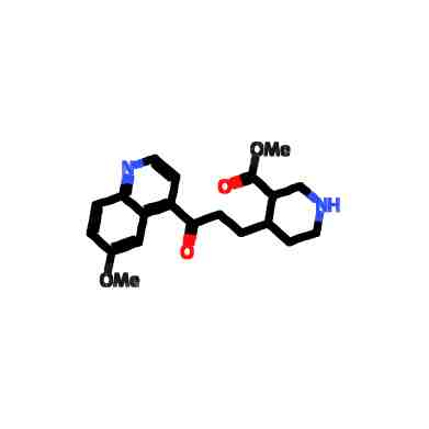 COC(=O)C1CNCCC1CCC(=O)c1ccnc2ccc(OC)cc12